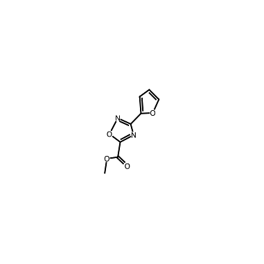 COC(=O)c1nc(-c2ccco2)no1